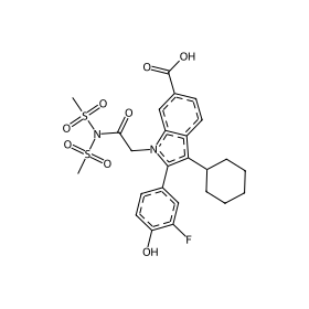 CS(=O)(=O)N(C(=O)Cn1c(-c2ccc(O)c(F)c2)c(C2CCCCC2)c2ccc(C(=O)O)cc21)S(C)(=O)=O